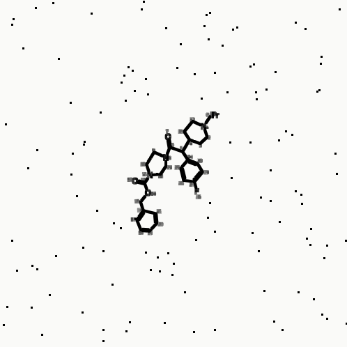 CC(C)N1CCC(C(C(=O)N2CCN(C(=O)OCc3ccccc3)CC2)c2ccc(F)cc2)CC1